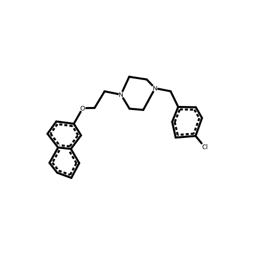 Clc1ccc(CN2CCN(CCOc3ccc4ccccc4c3)CC2)cc1